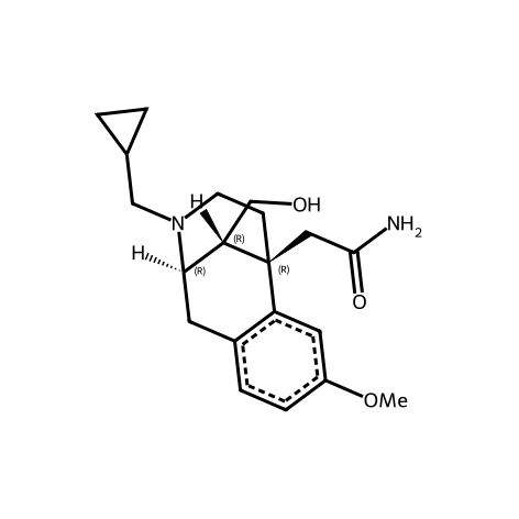 COc1ccc2c(c1)[C@@]1(CC(N)=O)CCN(CC3CC3)[C@H](C2)[C@@H]1CO